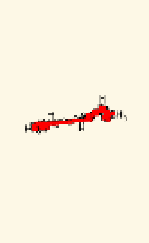 COc1cccc(F)c1-c1ncc2[nH]nc(-c3ccc(N4CCN(CC(=O)NCCOCCOCCOCCOCCNc5ccc6c(c5)C(=O)N(C5CCC(=O)NC5=O)C6=O)CC4)cc3)c2n1